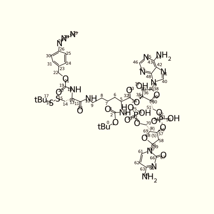 CC(C)(C)OC(=O)NC(CCCCNC(=O)[C@H](CSSC(C)(C)C)NC(=O)OCc1ccc(N=[N+]=[N-])cc1)C(=O)O[C@H]1[C@@H](O)[C@H](n2cnc3c(N)ncnc32)O[C@@H]1COP(=O)(O)O[C@H]1C[C@H](n2ccc(N)nc2=O)O[C@@H]1COP(=O)(O)O